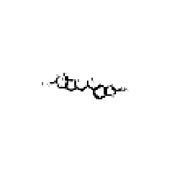 CC(CC1C/C(=C/N(C)C)C(=O)N1)c1ccc2sc(N)nc2c1